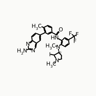 Cc1ccc(C(=O)Nc2cc(C(F)(F)F)ccc2N(C)[C@H]2CCN(C)C2I)cc1-c1ccc2nc(N)ncc2c1